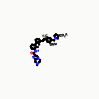 COc1cc(/C=C/c2cccc(-c3cccc(NC(=O)c4cn5c(n4)CN(C)CC5)c3C)c2C)c(C(F)(F)F)cc1CN1CCC(C(=O)O)C1